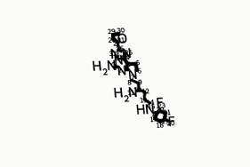 Nc1nc2c(ccn2CCC(N)CCCNc2ccc(F)cc2F)c2nc(-c3ccco3)nn12